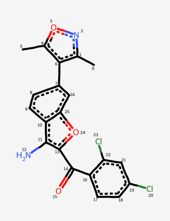 Cc1noc(C)c1-c1ccc2c(N)c(C(=O)c3ccc(Cl)cc3Cl)oc2c1